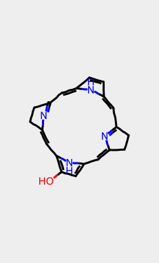 Oc1cc2cc3nc(cc4ccc(cc5nc(cc1[nH]2)CC5)[nH]4)CC3